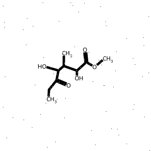 CCC(=O)C(O)C(C)C(O)C(=O)OC